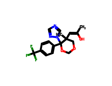 CC(O)=CC1(C)COCOC1(c1ccc(C(F)(F)F)cc1)n1cncn1